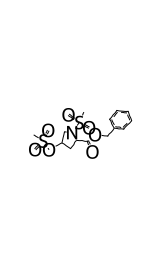 CS(=O)(=O)OC1CC(C(=O)OCc2ccccc2)N(S(C)(=O)=O)C1